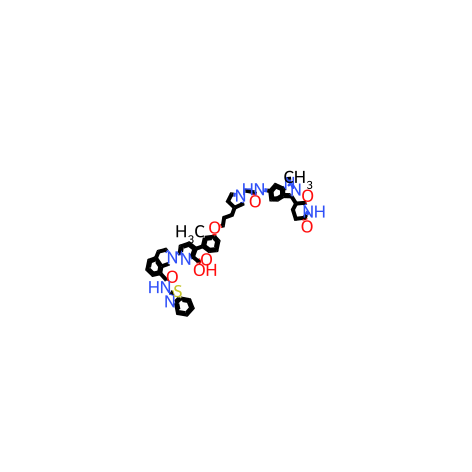 Cc1c(OCCCC2CCN(CC(=O)Nc3ccc4c(C5CCC(=O)NC5=O)nn(C)c4c3)C2)cccc1-c1ccc(N2CCc3cccc(C(=O)Nc4nc5ccccc5s4)c3C2)nc1C(=O)O